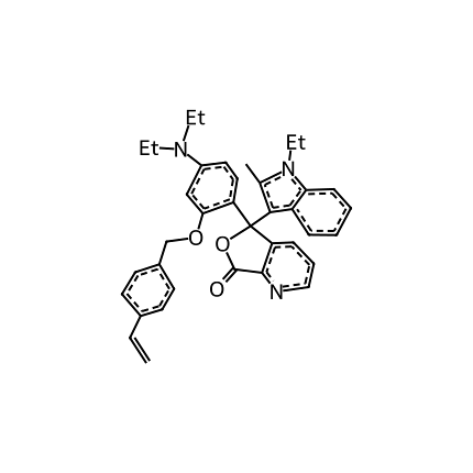 C=Cc1ccc(COc2cc(N(CC)CC)ccc2C2(c3c(C)n(CC)c4ccccc34)OC(=O)c3ncccc32)cc1